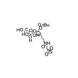 CC(C)(C)C(=O)OCc1cc(CCCCNC(=O)CCN2C(=O)C=CC2=O)ccc1O[C@@H]1O[C@H](C(=O)O)[C@@H](O)C(O)[C@H]1O